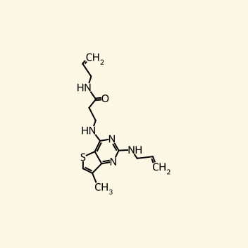 C=CCNC(=O)CCNc1nc(NCC=C)nc2c(C)csc12